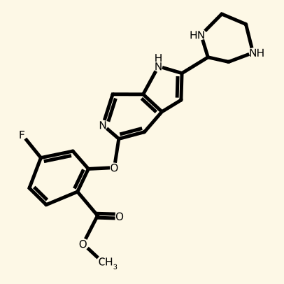 COC(=O)c1ccc(F)cc1Oc1cc2cc(C3CNCCN3)[nH]c2cn1